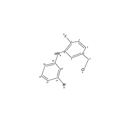 Fc1ccc(CCl)cc1Nc1cccc(Br)c1